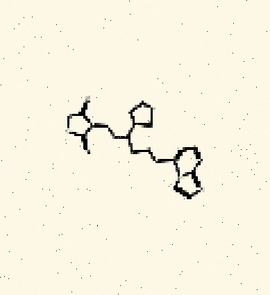 O=C1CSC(=O)N1CCC(CCSc1cccc2nccn12)C1CCCC1